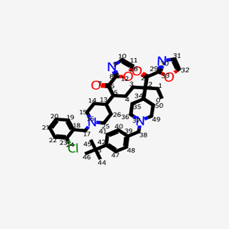 CCC(CCC(C(=O)c1ncco1)C1CCN(Cc2ccccc2Cl)CC1)(C(=O)c1ncco1)C1CCN(Cc2ccc(C(C)(C)C)cc2)CC1